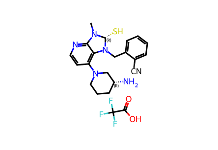 CN1c2nccc(N3CCC[C@@H](N)C3)c2N(Cc2ccccc2C#N)[C@H]1S.O=C(O)C(F)(F)F